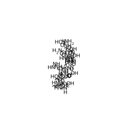 CC[C@H](C)[C@H](NC(=O)[C@@H](NC(=O)[C@H](Cc1ccc(O)cc1)NC(=O)[C@H](CCCNC(=N)N)NC(=O)[C@H](CCCNC(=N)N)NC(=O)[C@@H]1CCCN1C(=O)CNC(=O)[C@H](CO)NC(=O)[C@H](CC(=O)O)NC(=O)[C@H](CC(N)=O)NC(=O)[C@H](C)NC(=O)[C@@H](N)[C@@H](C)O)[C@@H](C)O)C(=O)N[C@@H](C)C(=O)N[C@@H](C)C(=O)O